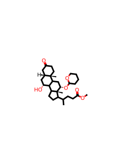 COC(=O)CCC(C)C1CCC2C3C(C[C@H](OC4CCCCO4)[C@]12C)[C@@]1(C)CCC(=O)C[C@H]1C[C@H]3O